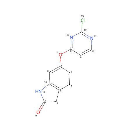 O=C1Cc2ccc(Oc3ccnc(Cl)n3)cc2N1